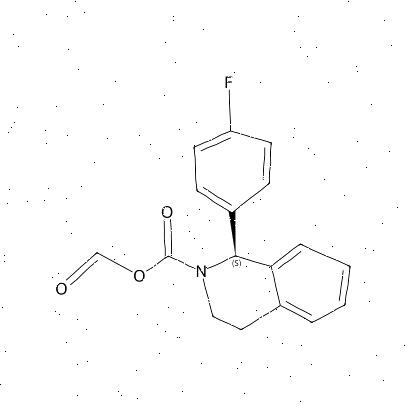 O=COC(=O)N1CCc2ccccc2[C@@H]1c1ccc(F)cc1